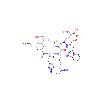 C[C@@H](O)[C@H](N)C(=O)N[C@@H](CCCCN)C(=O)N[C@@H](Cc1c[nH]cn1)C(=O)N[C@@H](CCCNC(=N)N)C(=O)N1CCC[C@H]1C(=O)N[C@@H](Cc1c[nH]c2ccccc12)C(=O)N[C@H](C(=O)O)[C@@H](C)O